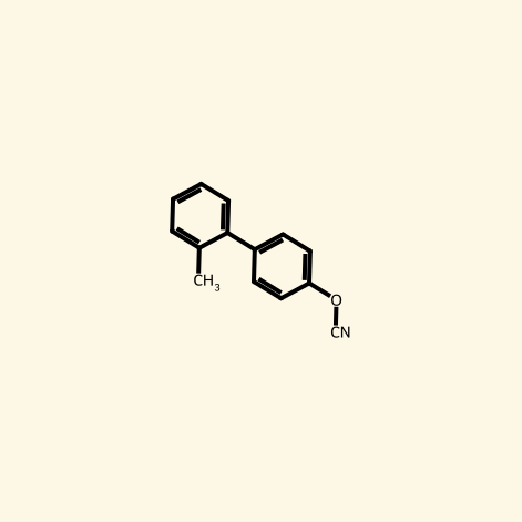 Cc1ccccc1-c1ccc(OC#N)cc1